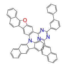 c1ccc(-c2cccc(-c3nc(-c4ccc5ccccc5c4)nc(-c4cc5oc6c7ccccc7ccc6c5cc4-n4c5ccccc5c5cc6ccccc6cc54)n3)c2)cc1